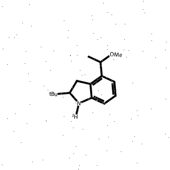 [2H]N1c2cccc(C(C)OC)c2CC1C(C)(C)C